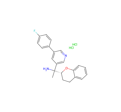 CC(N)(c1cncc(-c2ccc(F)cc2)c1)[C@H]1CCc2ccccc2O1.Cl.Cl